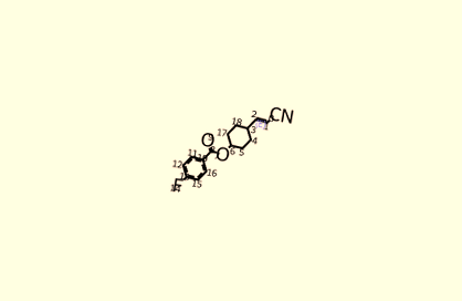 N#C/C=C/C1CCC(OC(=O)c2ccc(F)cc2)CC1